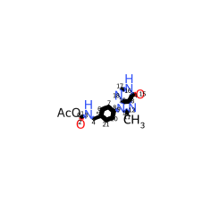 CC(=O)OC(=O)NCc1ccc(-n2c(C)nc3c(=O)[nH]cnc32)cc1